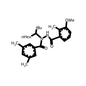 CCCCCCC(N(NC(=O)c1cccc(OC)c1C)C(=O)c1cc(C)cc(C)c1)C(C)(C)C